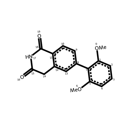 COc1cccc(OC)c1-c1ccc2c(c1)CC(=O)NC2=O